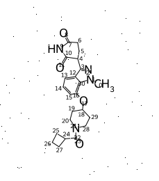 Cn1nc(C2CCC(=O)NC2=O)c2cccc(OC3CCN(C(=O)C4CCC4)CC3)c21